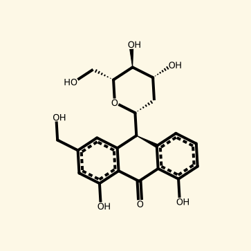 O=C1c2c(O)cccc2[C@H]([C@H]2C[C@@H](O)[C@H](O)[C@@H](CO)O2)c2cc(CO)cc(O)c21